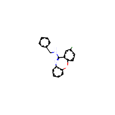 Clc1ccc2c(c1)C(NCc1ccccc1)=Nc1ccccc1O2